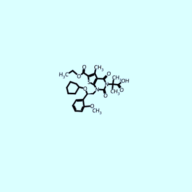 CCOC(=O)c1sc2c(c1C)c(=O)n(C(C)(C)C(=O)O)c(=O)n2C[C@H](OC1CCCCC1)c1ccccc1OC